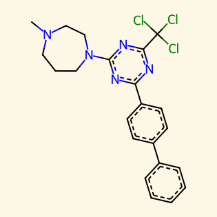 CN1CCCN(c2nc(-c3ccc(-c4ccccc4)cc3)nc(C(Cl)(Cl)Cl)n2)CC1